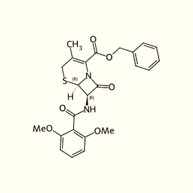 COc1cccc(OC)c1C(=O)N[C@@H]1C(=O)N2C(C(=O)OCc3ccccc3)=C(C)CS[C@H]12